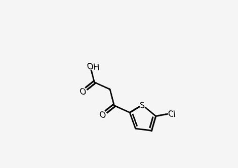 O=C(O)CC(=O)c1ccc(Cl)s1